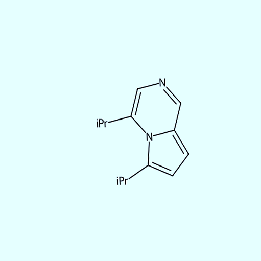 CC(C)c1ccc2cncc(C(C)C)n12